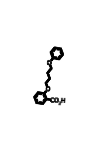 O=C(O)c1ccccc1OCCCCOc1ccccc1